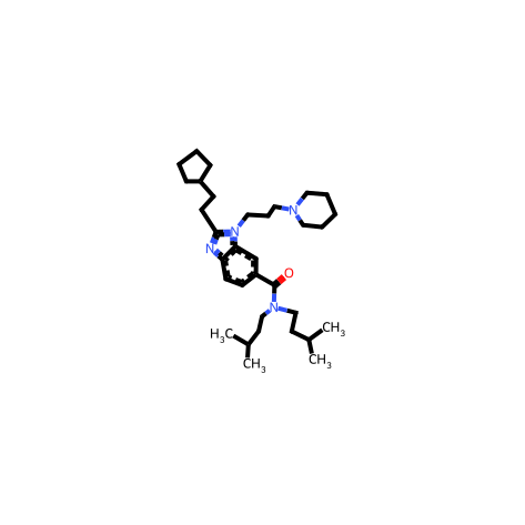 CC(C)CCN(CCC(C)C)C(=O)c1ccc2nc(CCC3CCCC3)n(CCCN3CCCCC3)c2c1